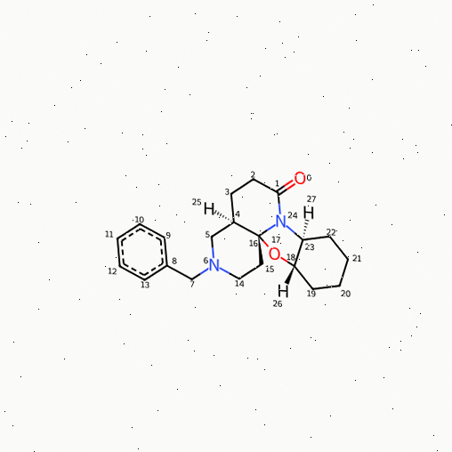 O=C1CC[C@@H]2CN(Cc3ccccc3)CC[C@@]23O[C@H]2CCCC[C@@H]2N13